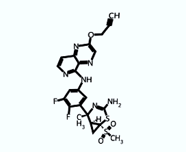 C#CCOc1cnc2c(Nc3cc(F)c(F)c([C@]4(C)N=C(N)S[C@@]5(S(C)(=O)=O)C[C@@H]45)c3)nccc2n1